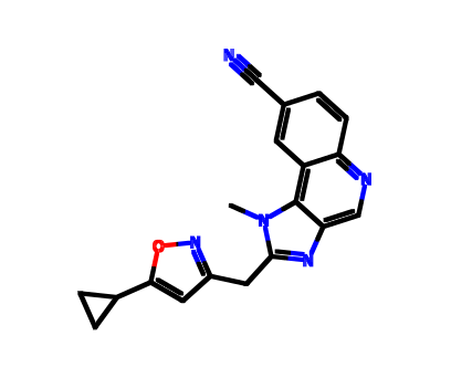 Cn1c(Cc2cc(C3CC3)on2)nc2cnc3ccc(C#N)cc3c21